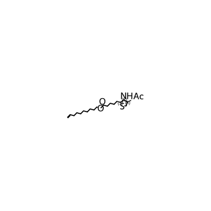 C=CCCCCCCCCOC(=O)CCCC[C@@H]1SC[C@H](C)[C@@H]1NC(C)=O